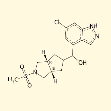 CS(=O)(=O)N1C[C@H]2CC(C(O)c3cc(Cl)cc4[nH]ncc34)C[C@H]2C1